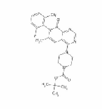 Cc1cc2c(N3CCN(C(=O)OC(C)(C)C)CC3)ncnc2c(=O)n1-c1c(O)cccc1F